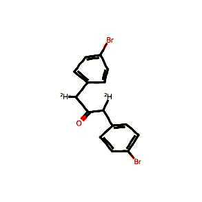 [2H]C(C(=O)C([2H])c1ccc(Br)cc1)c1ccc(Br)cc1